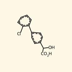 O=C(O)C(O)c1ccc(-c2ccccc2Cl)cc1